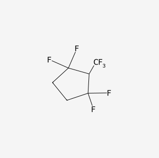 FC(F)(F)C1C(F)(F)CCC1(F)F